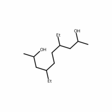 CCC(CCC(CC)CC(C)O)CC(C)O